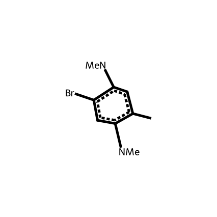 CNc1cc(Br)c(NC)cc1C